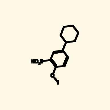 O=S(=O)(O)c1cc(C2CCCCC2)ccc1OI